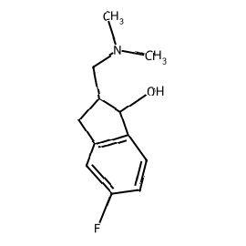 CN(C)CC1Cc2cc(F)ccc2C1O